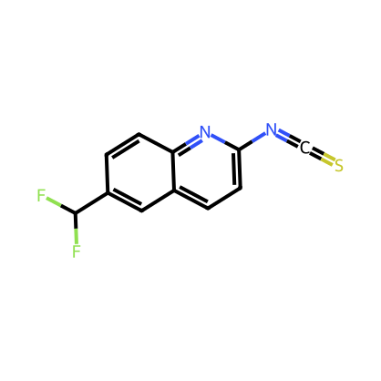 FC(F)c1ccc2nc(N=C=S)ccc2c1